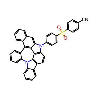 N#Cc1ccc(S(=O)(=O)c2ccc(-n3c4cc5ccccc5c5c6ccccc6n6c7ccccc7c7ccc3c(c54)c76)cc2)cc1